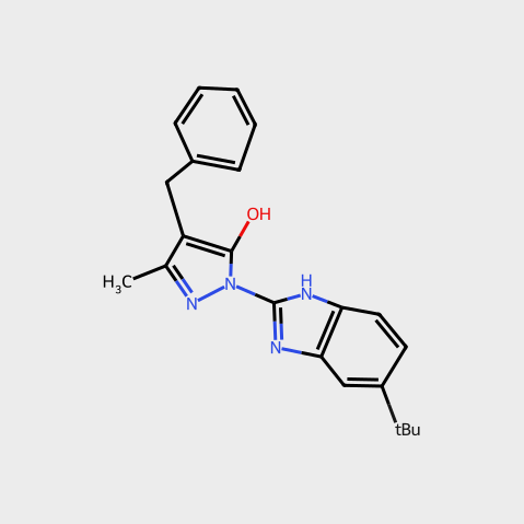 Cc1nn(-c2nc3cc(C(C)(C)C)ccc3[nH]2)c(O)c1Cc1ccccc1